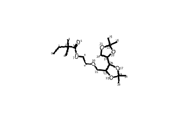 CCC(C)(C)C(=O)OCCOCC1OC(C)(C)OC1C1COC(C)(C)O1